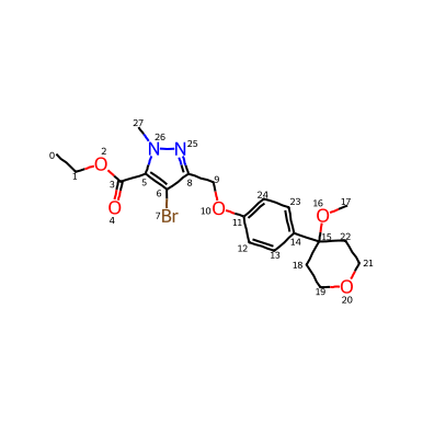 CCOC(=O)c1c(Br)c(COc2ccc(C3(OC)CCOCC3)cc2)nn1C